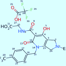 CCN1Cc2c(O)c(C(=O)NCC(=O)O)c(=O)n(Cc3ccc(C(F)(F)F)cc3)c2C1.O=C(O)C(F)(F)F